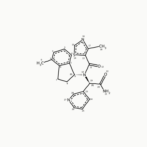 Cc1cccc2c1CC[C@H]2N(C(=O)c1scnc1C)[C@@H](C(N)=O)c1cccnc1